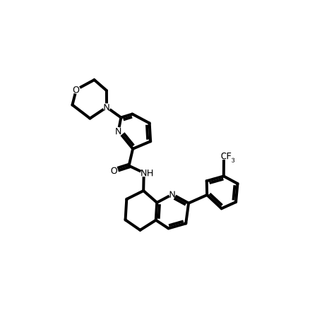 O=C(NC1CCCc2ccc(-c3cccc(C(F)(F)F)c3)nc21)c1cccc(N2CCOCC2)n1